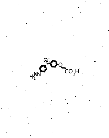 CN(C)N=Nc1ccc([S+]([O-])c2ccc(OCCC(=O)O)cc2)cc1